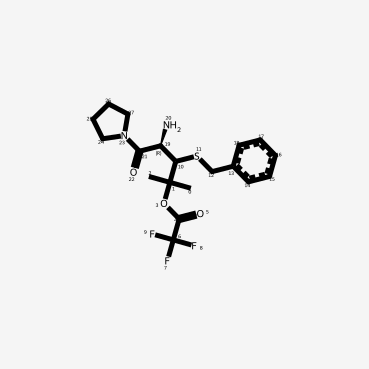 CC(C)(OC(=O)C(F)(F)F)C(SCc1ccccc1)[C@H](N)C(=O)N1CCCC1